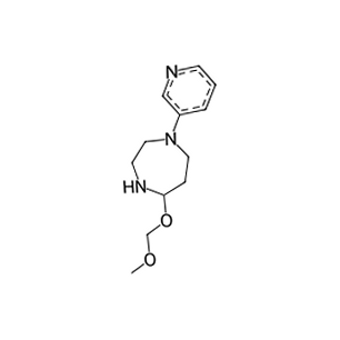 COCOC1CCN(c2cccnc2)CCN1